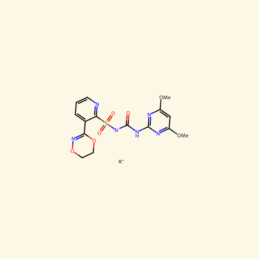 COc1cc(OC)nc(NC(=O)[N-]S(=O)(=O)c2ncccc2C2=NOCCO2)n1.[K+]